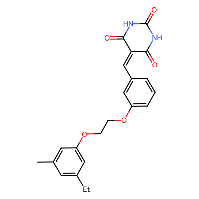 CCc1cc(C)cc(OCCOc2cccc(C=C3C(=O)NC(=O)NC3=O)c2)c1